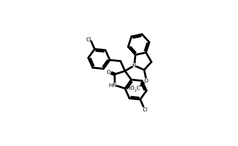 O=C(O)OC1Cc2ccccc2N1C1(Cc2cccc(Cl)c2)C(=O)Nc2cc(Cl)ccc21